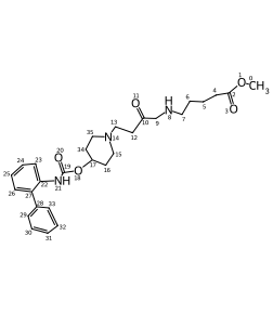 COC(=O)CCCCNCC(=O)CCN1CCC(OC(=O)Nc2ccccc2-c2ccccc2)CC1